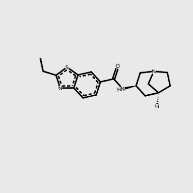 CCc1nc2ccc(C(=O)N[C@@H]3C[C@@H]4CCN(C4)C3)cc2s1